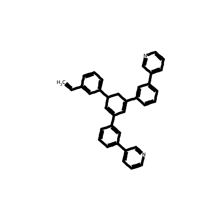 C=Cc1cccc(C2C=C(c3cccc(-c4cccnc4)c3)C=C(c3cccc(-c4cccnc4)c3)C2)c1